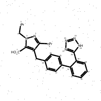 CCCc1nn(CC(C)C)c(C(=O)O)c1Cc1ccc(-c2ccccc2-c2nnn[nH]2)cc1